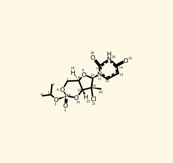 CC(C)O[P@@]1(=O)OC[C@H]2O[C@@H](n3ccc(=O)[nH]c3=O)[C@](C)(Cl)[C@@H]2O1